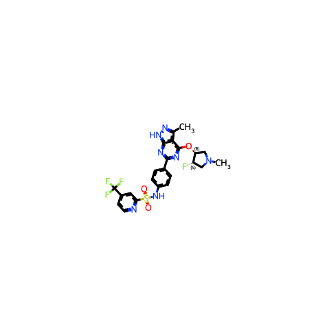 Cc1n[nH]c2nc(-c3ccc(NS(=O)(=O)c4cc(C(F)(F)F)ccn4)cc3)nc(O[C@@H]3CN(C)C[C@@H]3F)c12